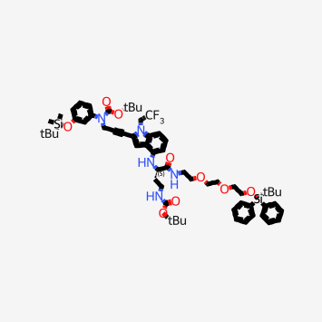 CC(C)(C)OC(=O)NCC[C@H](Nc1cccc2c1cc(C#CCN(C(=O)OC(C)(C)C)c1cccc(O[Si](C)(C)C(C)(C)C)c1)n2CC(F)(F)F)C(=O)NCCOCCOCCO[Si](c1ccccc1)(c1ccccc1)C(C)(C)C